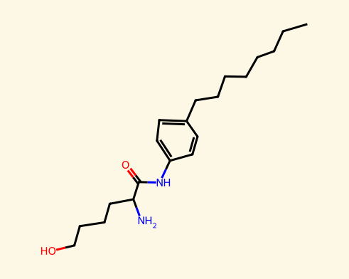 CCCCCCCCc1ccc(NC(=O)C(N)CCCCO)cc1